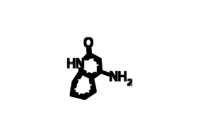 Nc1cc(=O)[nH]c2ccccc12